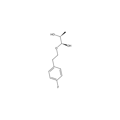 C[C@H](O)[C@@H](O)OCCc1ccc(F)cc1